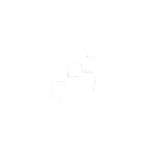 COc1c(N2CCN(C(C)=O)C(C)C2)c(F)cc2c(=O)c(C(=O)O)cn(C3CC3)c12